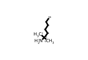 CC(C)(N)CCCCI